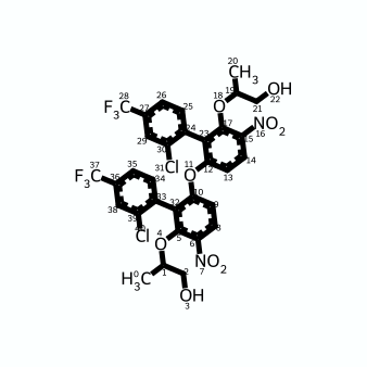 CC(CO)Oc1c([N+](=O)[O-])ccc(Oc2ccc([N+](=O)[O-])c(OC(C)CO)c2-c2ccc(C(F)(F)F)cc2Cl)c1-c1ccc(C(F)(F)F)cc1Cl